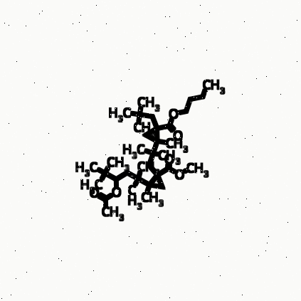 CCCCOC(=O)C1(CC(C)(C)C)CC1(C)C(C)(C)CC1(C(=O)OC)CC1(C)C(C)(C)CC(OC(C)=O)C(C)(C)C